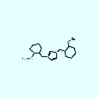 CC(C)(C)OC1CCCCC1Cn1cc[n+](CC2CCCCC2OC(C)(C)C)c1